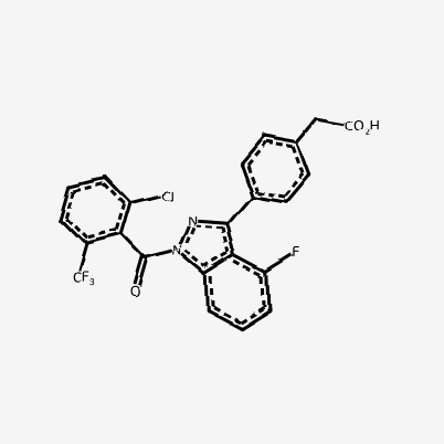 O=C(O)Cc1ccc(-c2nn(C(=O)c3c(Cl)cccc3C(F)(F)F)c3cccc(F)c23)cc1